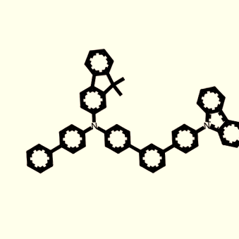 CC1(C)c2ccccc2-c2ccc(N(c3ccc(-c4ccccc4)cc3)c3ccc(-c4cccc(-c5ccc(-n6c7ccccc7c7ccccc76)cc5)c4)cc3)cc21